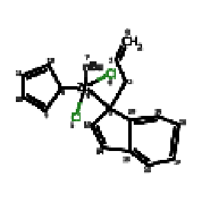 C=CC[C]1([Zr]([Cl])([Cl])([CH2]CCC)[CH]2C=CC=C2)C=Cc2ccccc21